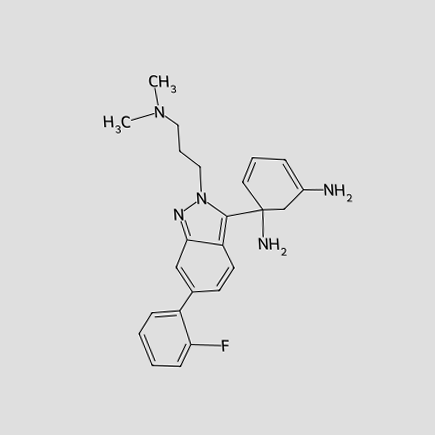 CN(C)CCCn1nc2cc(-c3ccccc3F)ccc2c1C1(N)C=CC=C(N)C1